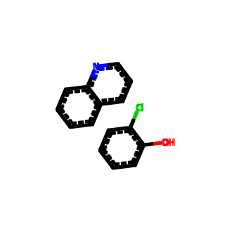 Oc1ccccc1Cl.c1ccc2ncccc2c1